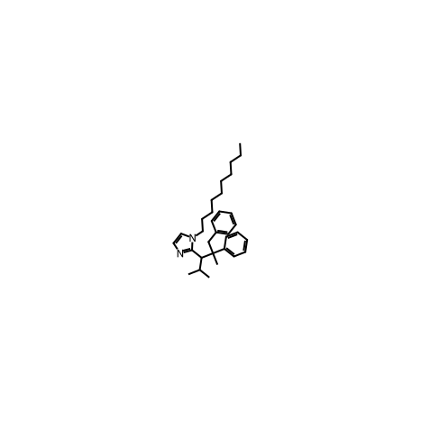 CCCCCCCCCCn1ccnc1C(C(C)C)C(C)(Cc1ccccc1)c1ccccc1